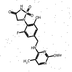 COc1ncc(C)c(NCc2cc(O)c(N3CC(=O)NS3(=O)=O)c(F)c2)n1